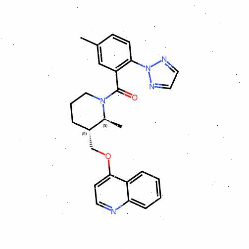 Cc1ccc(-n2nccn2)c(C(=O)N2CCC[C@@H](COc3ccnc4ccccc34)[C@@H]2C)c1